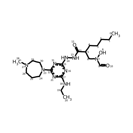 CCCCCC(CN(O)C=O)C(=O)NNc1nc(NCC)nc(N2CCCN(C)CC2)n1